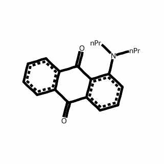 CCCN(CCC)c1cccc2c1C(=O)c1ccccc1C2=O